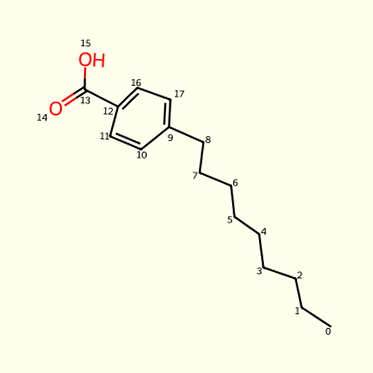 CCCCCCCCCc1ccc(C(=O)O)cc1